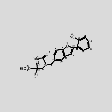 CCCCC(=O)N(Cc1ccc2oc(-c3ccccc3C#N)cc2c1)CC(CC)(CC)C(=O)OCC